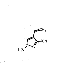 C=Cc1cn(C)nc1C#N